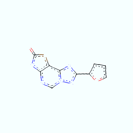 O=c1[nH]c2ncn3nc(-c4ccco4)nc3c2s1